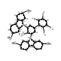 CC(C)(C)c1ccc2c3ccc(C(C)(C)C)cc3n(-c3cc(-c4c(F)c(F)cc(F)c4F)cc(-n4c5cc(C(C)(C)C)ccc5c5ccc(C(C)(C)C)cc54)c3C(F)(F)F)c2c1